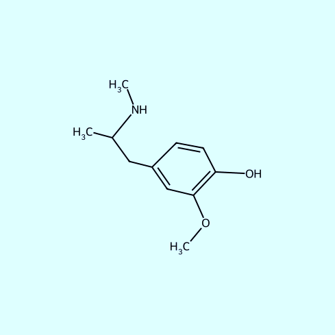 CNC(C)Cc1ccc(O)c(OC)c1